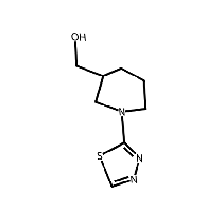 OCC1CCCN(c2nncs2)C1